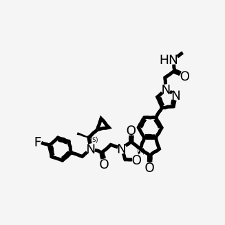 CNC(=O)Cn1cc(-c2ccc3c(c2)CC(=O)[C@]32OCN(CC(=O)N(Cc3ccc(F)cc3)[C@@H](C)C3CC3)C2=O)cn1